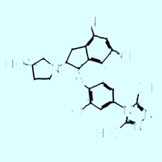 Cc1nnc(C)n1-c1ccc(O[C@H]2c3cc(Cl)cc(Cl)c3C[C@@H]2N2CC[C@@H](O)C2)c(Cl)c1